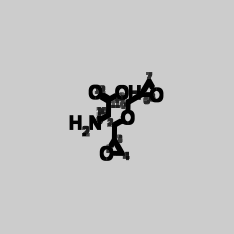 C(OCC1CO1)C1CO1.NCC(=O)O